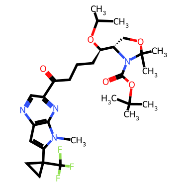 CC(C)O[C@H](CCCC(=O)c1cnc2cc(C3(C(F)(F)F)CC3)n(C)c2n1)[C@@H]1COC(C)(C)N1C(=O)OC(C)(C)C